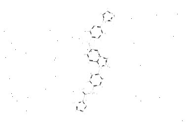 O=C(Nc1ccc(-n2ncc3cc(Nc4ccc(-n5ccnc5)cc4)ccc32)cc1)c1cccs1